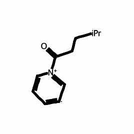 CC(C)CCC(=O)[n+]1c[c]ccc1